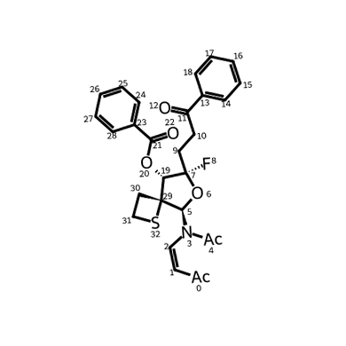 CC(=O)/C=C\N(C(C)=O)[C@@H]1O[C@](F)(CCC(=O)c2ccccc2)[C@@H](OC(=O)c2ccccc2)[C@]12CCS2